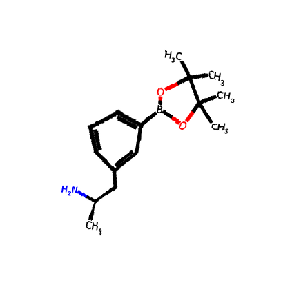 C[C@@H](N)Cc1cccc(B2OC(C)(C)C(C)(C)O2)c1